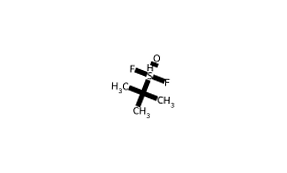 CC(C)(C)[SH](=O)(F)F